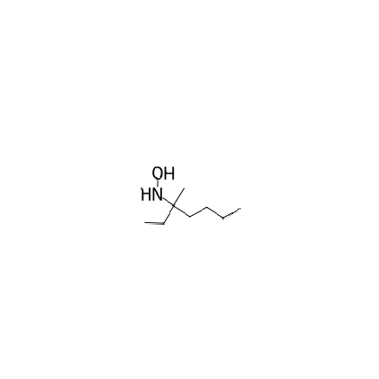 CCCCC(C)(CC)NO